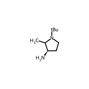 CC1[C@H](N)CCN1C(C)(C)C